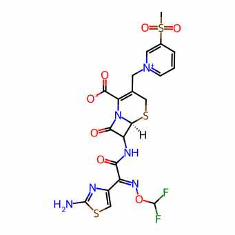 CS(=O)(=O)c1ccc[n+](CC2=C(C(=O)[O-])N3C(=O)C(NC(=O)C(=NOC(F)F)c4csc(N)n4)[C@@H]3SC2)c1